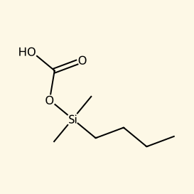 CCCC[Si](C)(C)OC(=O)O